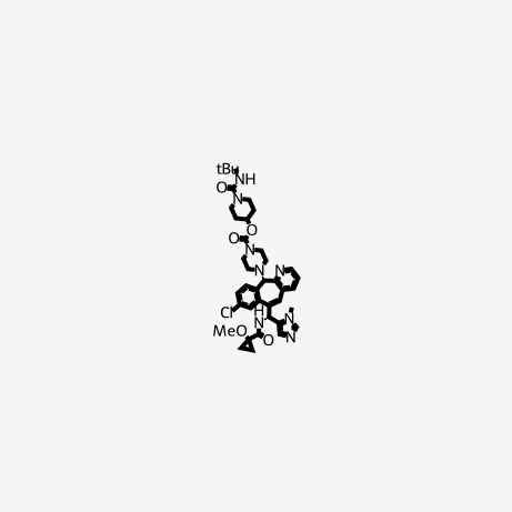 COC1(C(=O)N[C@H](C2=Cc3cccnc3[C@@H](N3CCN(C(=O)OC4CCN(C(=O)NC(C)(C)C)CC4)CC3)c3ccc(Cl)cc32)c2cncn2C)CC1